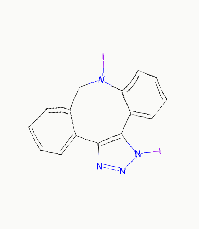 IN1Cc2ccccc2-c2nnn(I)c2-c2ccccc21